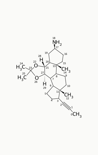 CC#CC1CCC2C3C(CC[C@]12C)[C@@]1(C)CC[C@H](N)CC1[C@H]1OC(C)(C)O[C@H]31